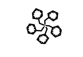 c1ccc(CP(Cc2ccccc2)(Cc2ccccc2)(Cc2ccccc2)Cc2ccccc2)cc1